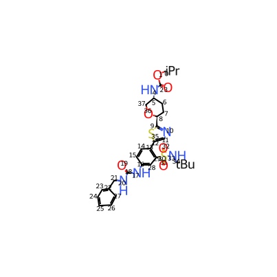 CC(C)OC(=O)N[C@@H]1CC[C@@H](c2ncc(-c3ccc(NC(=O)NCc4ccccc4)cc3S(=O)(=O)NC(C)(C)C)s2)OC1